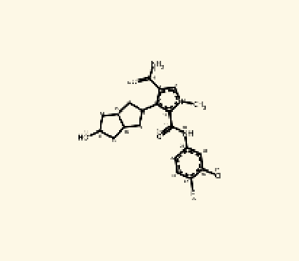 Cn1cc(C(N)=O)c(C2CC3CC(O)CC3C2)c1C(=O)Nc1ccc(F)c(Cl)c1